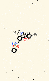 CC(C)c1ccc(C(O)(c2cccc(CNS(=O)(=O)c3ccccc3)c2)C2(C)CN(C)C2)cc1